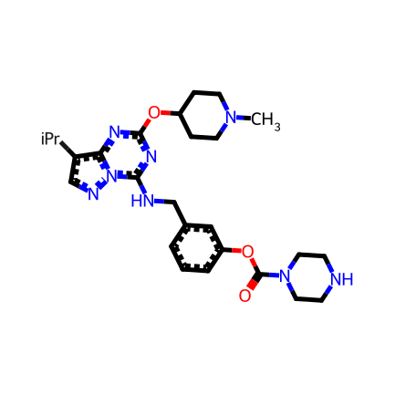 CC(C)c1cnn2c(NCc3cccc(OC(=O)N4CCNCC4)c3)nc(OC3CCN(C)CC3)nc12